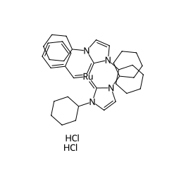 Cl.Cl.[CH](c1ccccc1)=[Ru](=[c]1n(C2CCCCC2)ccn1C1CCCCC1)=[c]1n(C2CCCCC2)ccn1C1CCCCC1